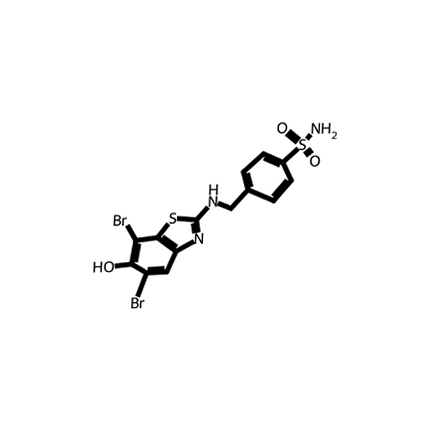 NS(=O)(=O)c1ccc(CNc2nc3cc(Br)c(O)c(Br)c3s2)cc1